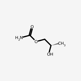 C[C@H](O)COC(N)=O